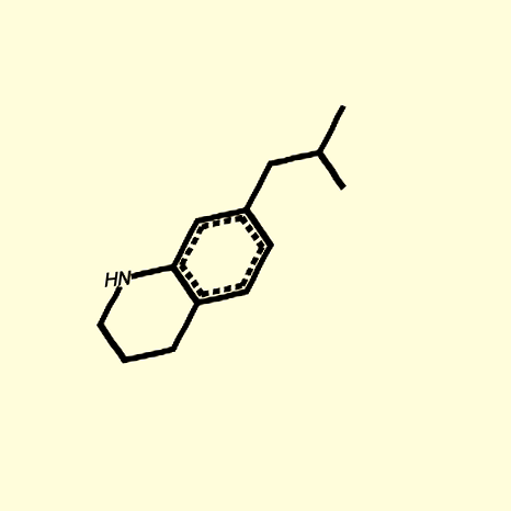 CC(C)Cc1ccc2c(c1)NCCC2